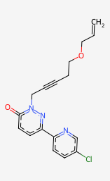 C=CCOCCC#CCn1nc(-c2ccc(Cl)cn2)ccc1=O